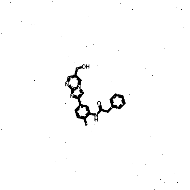 Cc1ccc(-c2cn3cc(CO)cnc3n2)cc1NC(=O)Cc1ccccc1